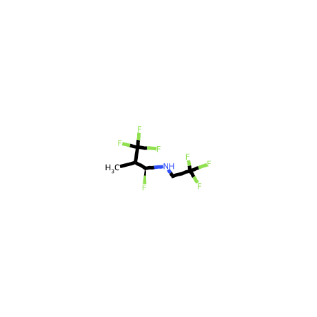 CC([C@H](F)NCC(F)(F)F)C(F)(F)F